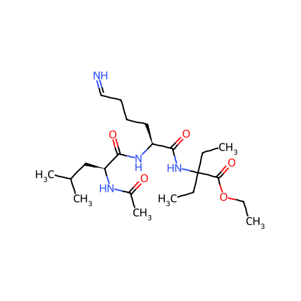 CCOC(=O)C(CC)(CC)NC(=O)[C@H](CCCC=N)NC(=O)[C@H](CC(C)C)NC(C)=O